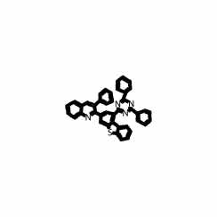 c1ccc(-c2nc(-c3ccccc3)nc(-c3cc(-c4nc5ccccc5cc4-c4ccccc4)cc4sc5ccccc5c34)n2)cc1